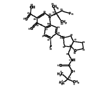 CC(C)(C)OC(=O)NCC12CN(c3cc4c(cc3F)c(=O)c(C(=O)O)cn4C(C)(C)CF)CC1CCO2